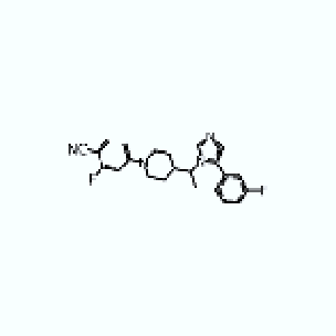 C=C(C#N)/C(F)=C\C(=C)N1CCC(C(C)n2cncc2-c2cccc(F)c2)CC1